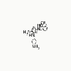 Nc1cnc(NCc2ccccc2OC(F)(F)F)nc1NC[C@H]1CC[C@H](N)CC1